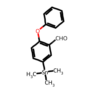 [CH3][Sn]([CH3])([CH3])[c]1ccc(Oc2ccccc2)c(C=O)c1